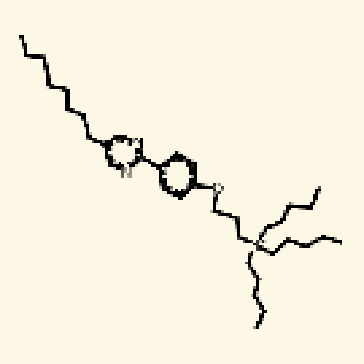 CCCCCCCCc1cnc(-c2ccc(OCCC[N+](CCCCC)(CCCCC)CCCCC)cc2)nc1